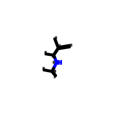 C=C(C)C(C)NC(C)C